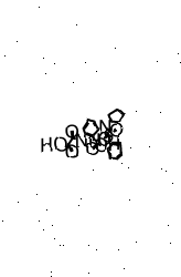 O=C(O)C(=O)Nc1cccc(N(C2CCCC2)S(=O)(=O)c2ccccc2)c1C(=O)O